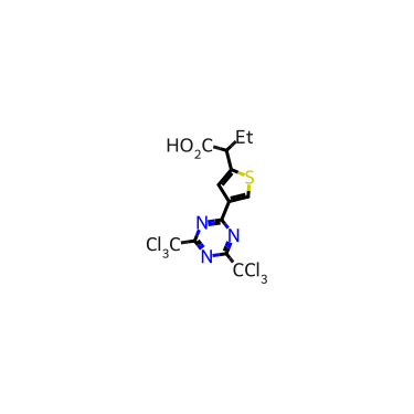 CCC(C(=O)O)c1cc(-c2nc(C(Cl)(Cl)Cl)nc(C(Cl)(Cl)Cl)n2)cs1